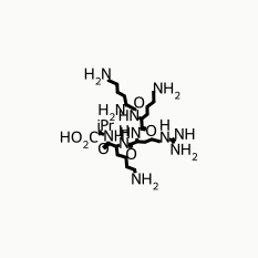 CC(C)C(NC(=O)C(CCCCN)NC(=O)C(CCCNC(=N)N)NC(=O)C(CCCCN)NC(=O)C(N)CCCCN)C(=O)O